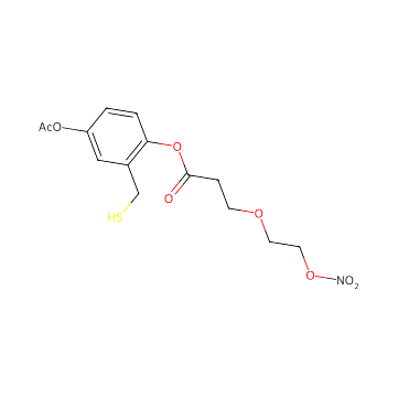 CC(=O)Oc1ccc(OC(=O)CCOCCO[N+](=O)[O-])c(CS)c1